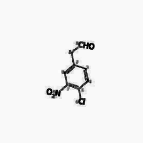 O=CCc1ccc(Cl)c([N+](=O)[O-])c1